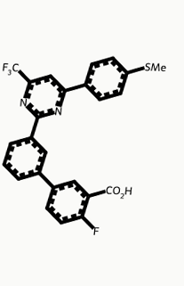 CSc1ccc(-c2cc(C(F)(F)F)nc(-c3cccc(-c4ccc(F)c(C(=O)O)c4)c3)n2)cc1